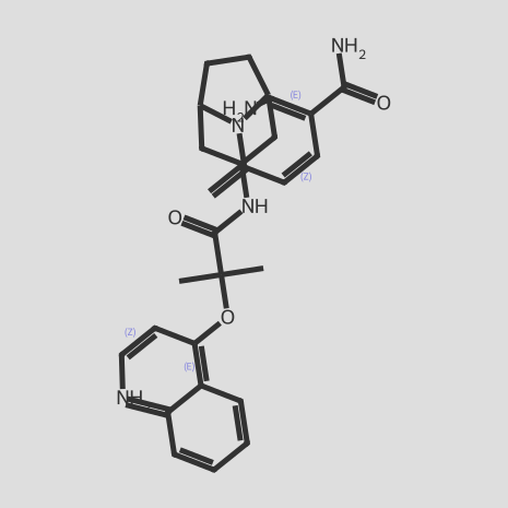 C=C(/C=C\C(=C/N)C(N)=O)N1C2CCC1CC(NC(=O)C(C)(C)OC(/C=C\N)=c1\ccccc1=C)C2